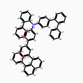 c1ccc(-c2ccccc2-c2ccc(N(c3ccc(-c4cccc(-c5cccc6cccc(-c7ccccc7)c56)c4)cc3)c3ccccc3-c3ccccc3)cc2)cc1